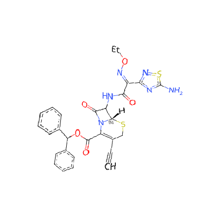 C#CC1=C(C(=O)OC(c2ccccc2)c2ccccc2)N2C(=O)C(NC(=O)C(=NOCC)c3nsc(N)n3)[C@@H]2SC1